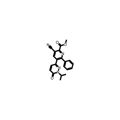 COC(=O)c1nc(-c2ccccc2)c(-c2ccc(=O)n(C(C)C)n2)cc1C#N